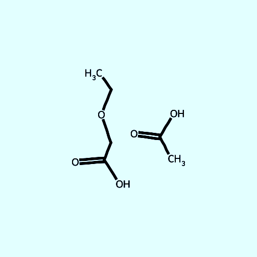 CC(=O)O.CCOCC(=O)O